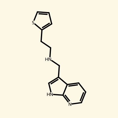 c1csc(CCNCc2c[nH]c3ncccc23)c1